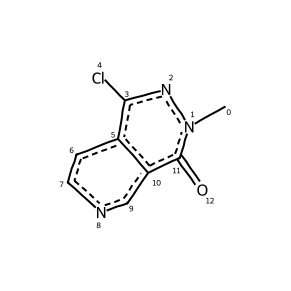 Cn1nc(Cl)c2ccncc2c1=O